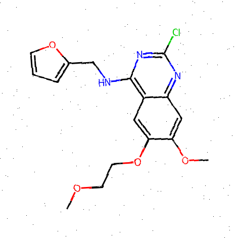 COCCOc1cc2c(NCc3ccco3)nc(Cl)nc2cc1OC